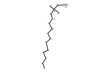 CCCCCCCCCCCCC(C)(C)CO